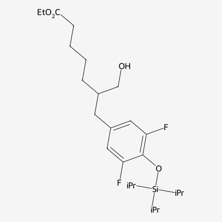 CCOC(=O)CCCCC(CO)Cc1cc(F)c(O[Si](C(C)C)(C(C)C)C(C)C)c(F)c1